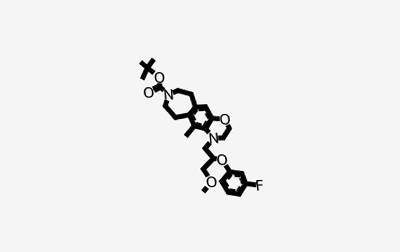 COCC(CN1CCOc2cc3c(c(C)c21)CCN(C(=O)OC(C)(C)C)CC3)Oc1cccc(F)c1